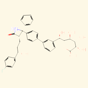 O=C1N[C@@](c2ccccc2)(c2ccc(-c3cccc([C@@H](O)[C@H]4OC(O)[C@H](O)[C@@H](O)[C@@H]4O)c3)cc2)[C@H]1CC[C@H](O)c1ccc(F)cc1